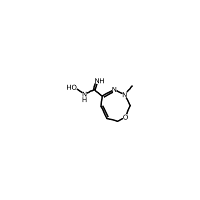 CN1COC/C=C\C(C(=N)NO)=N/1